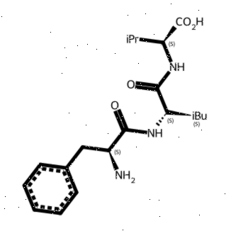 CC[C@H](C)[C@H](NC(=O)[C@@H](N)Cc1ccccc1)C(=O)N[C@H](C(=O)O)C(C)C